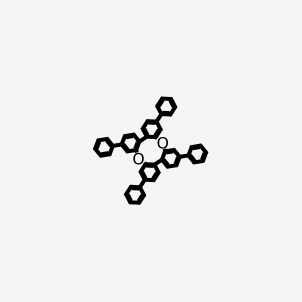 c1ccc(-c2ccc3c(c2)Oc2cc(-c4ccccc4)ccc2-c2ccc(-c4ccccc4)cc2Oc2cc(-c4ccccc4)ccc2-3)cc1